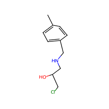 Cc1ccc(CNCC(O)CCl)cc1